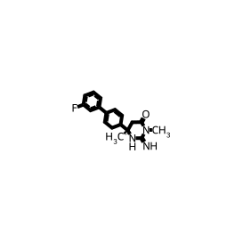 CN1C(=N)N[C@](C)(C2C=CC(c3cccc(F)c3)=CC2)CC1=O